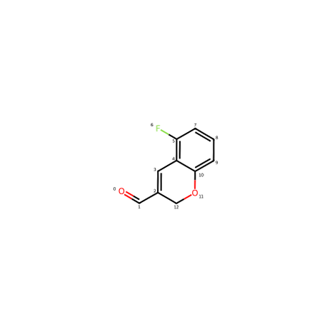 O=CC1=Cc2c(F)cccc2OC1